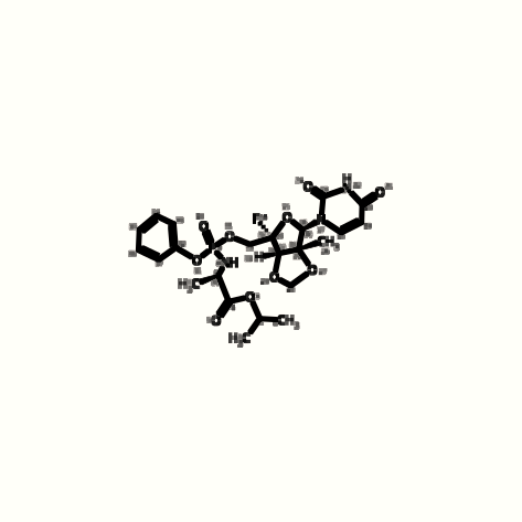 CC(C)OC(=O)[C@@H](C)NP(=O)(OC[C@@]1(F)O[C@@H](n2ccc(=O)[nH]c2=O)[C@]2(C)OCO[C@@H]21)Oc1ccccc1